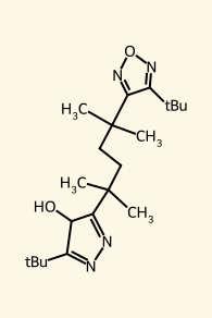 CC(C)(C)C1=NN=C(C(C)(C)CCC(C)(C)c2nonc2C(C)(C)C)C1O